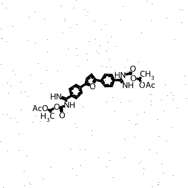 CC(=O)OC(C)OC(=O)NC(=N)c1ccc(-c2ccc(-c3ccc(C(=N)NC(=O)OC(C)OC(C)=O)cc3)o2)cc1